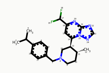 CC(C)c1ccc(CN2CC[C@@H](C)[C@H](c3cc(C(F)F)nc4ncnn34)C2)cc1